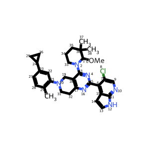 COC1N(c2nc(-c3c(Cl)cnc4[nH]ccc34)nc3c2CN(c2cc(C4CC4)ccc2C)CC3)CCCC1(C)C